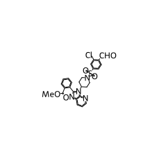 COC(=O)c1ccccc1-c1nc2cccnc2n1C1CCN(S(=O)(=O)c2ccc(C=O)c(Cl)c2)CC1